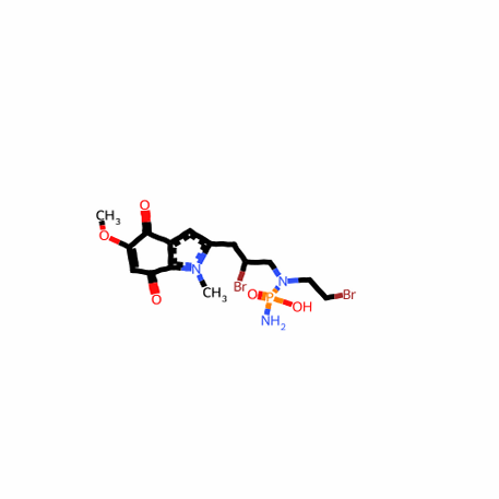 COC1=CC(=O)c2c(cc(CC(Br)CN(CCBr)P(N)(=O)O)n2C)C1=O